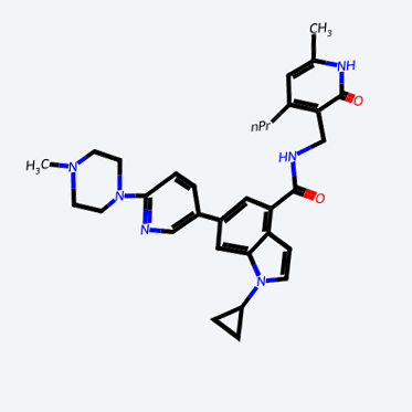 CCCc1cc(C)[nH]c(=O)c1CNC(=O)c1cc(-c2ccc(N3CCN(C)CC3)nc2)cc2c1ccn2C1CC1